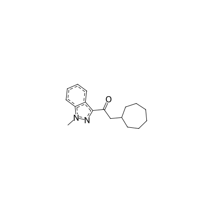 Cn1nc(C(=O)CC2CCCCCC2)c2ccccc21